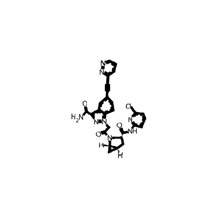 NC(=O)c1nn(CC(=O)N2[C@H](C(=O)Nc3cccc(Cl)n3)C[C@H]3C[C@@H]32)c2ccc(C#Cc3cccnn3)cc12